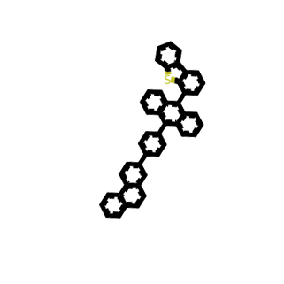 c1ccc2c(c1)ccc1cc(-c3ccc(-c4c5ccccc5c(-c5cccc6c5sc5ccccc56)c5ccccc45)cc3)ccc12